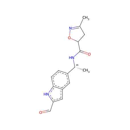 CC1=NOC(C(=O)N[C@H](C)c2ccc3[nH]c(C=O)cc3c2)C1